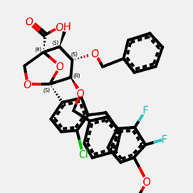 COc1ccc(Cc2cc([C@]34OC[C@](C(=O)O)(O3)[C@@H](C)[C@H](OCc3ccccc3)[C@H]4OCc3ccccc3)ccc2Cl)c(F)c1F